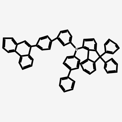 c1ccc(-c2ccc(N(c3cccc(-c4ccc(-c5cc6ccccc6c6ccccc56)cc4)c3)c3cccc4c3-c3ccccc3C4(c3ccccc3)c3ccccc3)cc2)cc1